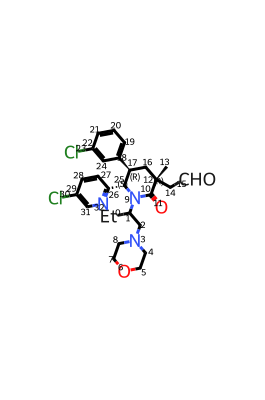 CCC(CN1CCOCC1)N1C(=O)[C@@](C)(CC=O)C[C@H](c2cccc(Cl)c2)[C@H]1c1ccc(Cl)cn1